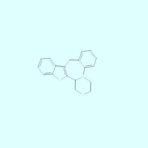 c1ccc2c(c1)Cc1c([nH]c3ccccc13)[C@@H]1CNCCN21